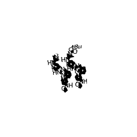 C=CC(=O)Nc1ccnc(-c2cccc3cnc(Nc4ccc(NC5CN(C(=O)OC(C)(C)C)C5)nc4)nc23)c1.C=CC(=O)Nc1ccnc(-c2cccc3cnc(Nc4ccc(NC5CN(C)C5)nc4)nc23)c1